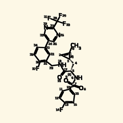 CC1=C[C@H]1C[C@H](NS(=O)(=O)c1ccc(F)cc1)C(=O)NCc1cc(-c2cnc(C(F)(F)F)nc2)ccc1F